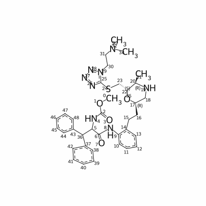 COC(=O)NC(C(=O)Nc1ccccc1CC[C@@H]1CN[C@H](C)[C@@H](CSc2nnnn2CCN(C)C)O1)C(c1ccccc1)c1ccccc1